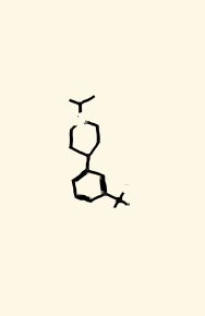 CC(C)N1CCC(c2cc[c]c(C(F)(F)F)c2)CC1